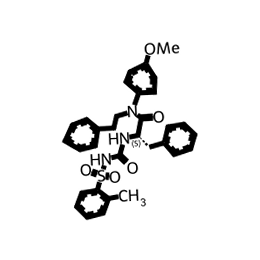 COc1ccc(N(CCc2ccccc2)C(=O)[C@H](Cc2ccccc2)NC(=O)NS(=O)(=O)c2ccccc2C)cc1